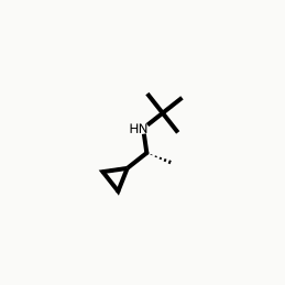 C[C@@H](NC(C)(C)C)C1CC1